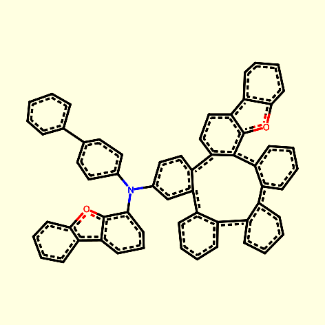 c1ccc(-c2ccc(N(c3ccc4c(c3)c3ccccc3c3ccccc3c3ccccc3c3c4ccc4c5ccccc5oc43)c3cccc4c3oc3ccccc34)cc2)cc1